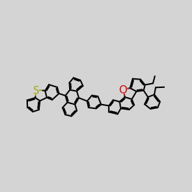 CCc1ccccc1-c1c(CC)ccc2oc3c4cc(-c5ccc(-c6c7ccccc7c(-c7ccc8sc9ccccc9c8c7)c7ccccc67)cc5)ccc4ccc3c12